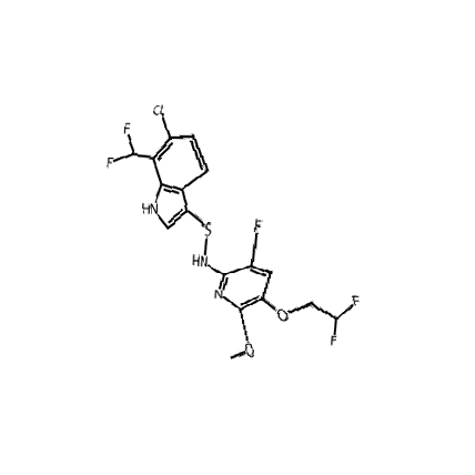 COc1nc(NSc2c[nH]c3c(C(F)F)c(Cl)ccc23)c(F)cc1OCC(F)F